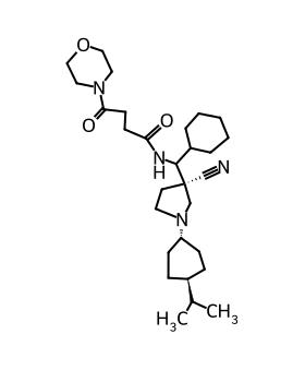 CC(C)[C@H]1CC[C@H](N2CC[C@@](C#N)(C(NC(=O)CCC(=O)N3CCOCC3)C3CCCCC3)C2)CC1